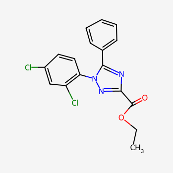 CCOC(=O)c1nc(-c2ccccc2)n(-c2ccc(Cl)cc2Cl)n1